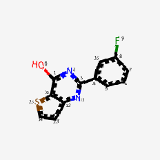 Oc1nc(-c2cccc(F)c2)nc2ccsc12